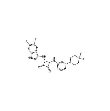 O=C1C(=O)C(Nc2c[nH]c3cc(F)c(F)cc23)C1Nc1cccc(C2CCC(F)(F)CC2)c1